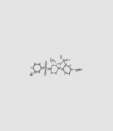 C[C@@H]1CN(c2ccc(C#N)cc2C(F)(F)F)CCN1S(=O)(=O)c1cccc(Br)c1